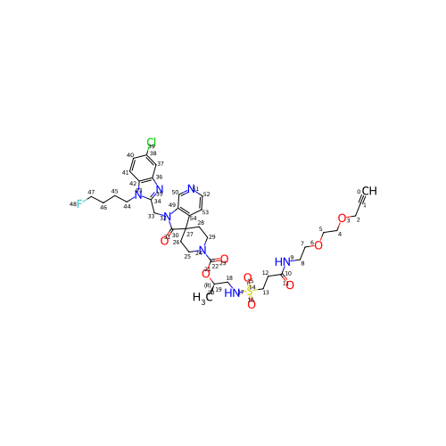 C#CCOCCOCCNC(=O)CCS(=O)(=O)NC[C@@H](C)OC(=O)N1CCC2(CC1)C(=O)N(Cc1nc3cc(Cl)ccc3n1CCCCF)c1cnccc12